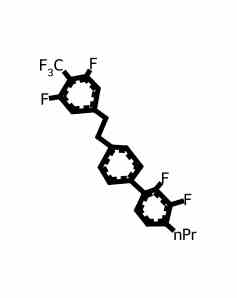 CCCc1ccc(-c2ccc(CCc3cc(F)c(C(F)(F)F)c(F)c3)cc2)c(F)c1F